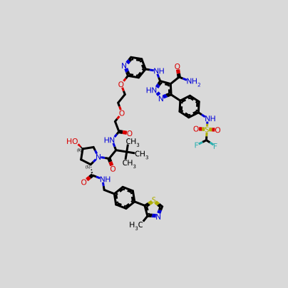 Cc1ncsc1-c1ccc(CNC(=O)[C@@H]2C[C@@H](O)CN2C(=O)C(NC(=O)COCCOc2cc(Nc3[nH]nc(-c4ccc(NS(=O)(=O)C(F)F)cc4)c3C(N)=O)ccn2)C(C)(C)C)cc1